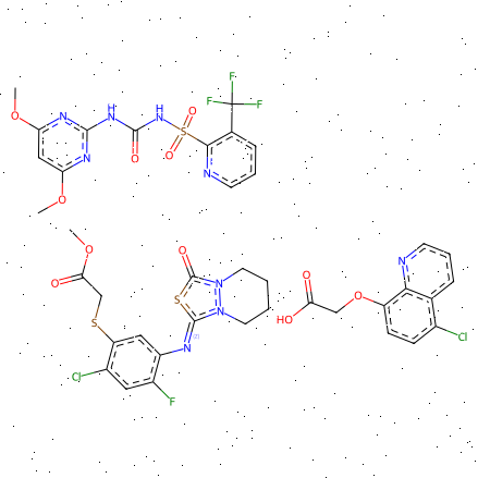 COC(=O)CSc1cc(/N=c2\sc(=O)n3n2CCCC3)c(F)cc1Cl.COc1cc(OC)nc(NC(=O)NS(=O)(=O)c2ncccc2C(F)(F)F)n1.O=C(O)COc1ccc(Cl)c2cccnc12